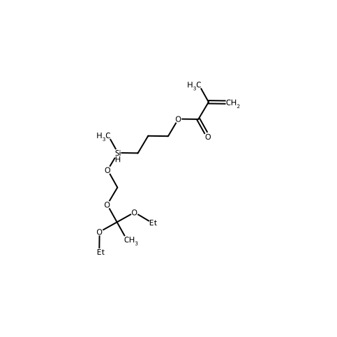 C=C(C)C(=O)OCCC[SiH](C)OCOC(C)(OCC)OCC